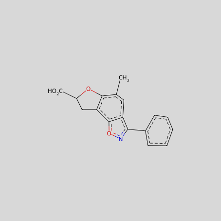 Cc1cc2c(-c3ccccc3)noc2c2c1OC(C(=O)O)C2